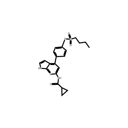 CCCCS(=O)(=O)Oc1ccc(-c2cc(NC(=O)C3CC3)nc3[nH]ccc23)cc1